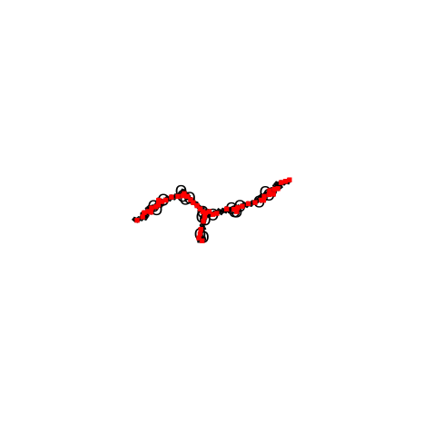 CCCCCC1CCC(c2ccc(OC(=O)c3ccc(OCCCCCCCCOC(C=O)CC(=O)OCCCCCCCCOc4ccc(OCCCCCCCCOC(=O)CC(C=O)OCCCCCCCCOc5ccc(C(=O)Oc6ccc(C7CCC(CCCCC)CC7)cc6)cc5)c(C(=O)OCCCCCCOC5CCCCO5)c4)cc3)cc2)CC1